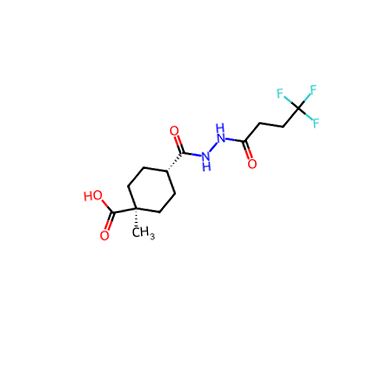 C[C@]1(C(=O)O)CC[C@H](C(=O)NNC(=O)CCC(F)(F)F)CC1